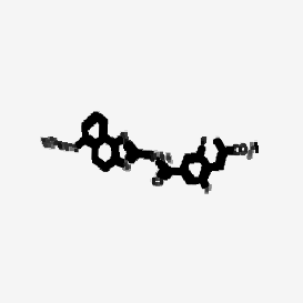 CCCCCc1cccc2c1CCc1sc(NC(=O)c3cc(F)c(/C=C(\C)C(=O)O)c(F)c3)nc1-2